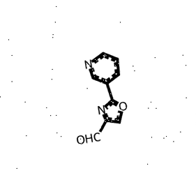 O=Cc1coc(-c2cccnc2)n1